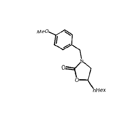 CCCCCCC1CN(Cc2ccc(OC)cc2)C(=O)O1